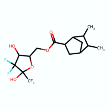 CC1C2CC(C(=O)OCC3OC(O)(C(F)(F)F)C(F)(F)C3O)C(C2)C1C